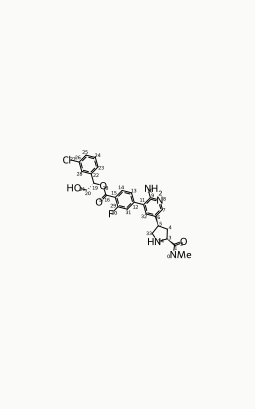 CNC(=O)[C@@H]1C[C@H](c2cnc(N)c(-c3ccc(C(=O)O[C@H](CO)c4cccc(Cl)c4)c(F)c3)c2)CN1